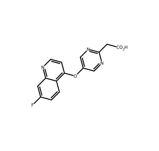 O=C(O)Cc1ncc(Oc2ccnc3cc(F)ccc23)cn1